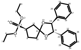 CCOP(=O)(OCC)[C@@H]1CCC2(C1)O[C@@H](c1ccccc1)[C@H](c1ccccc1)O2